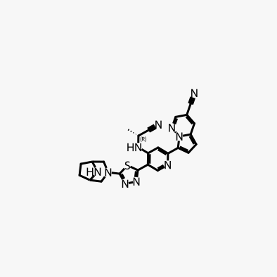 C[C@H](C#N)Nc1cc(-c2ccc3cc(C#N)cnn23)ncc1-c1nnc(N2CC3CCC(C2)N3)s1